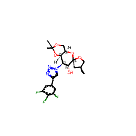 CC1CO[C@@]2(C1)O[C@@H]1COC(C)(C)O[C@@H]1[C@H](n1cc(-c3cc(F)c(F)c(F)c3)nn1)[C@H]2O